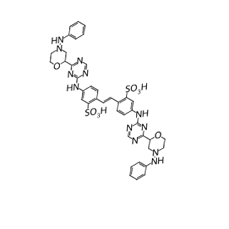 O=S(=O)(O)c1cc(Nc2ncnc(C3CN(Nc4ccccc4)CCO3)n2)ccc1C=Cc1ccc(Nc2ncnc(C3CN(Nc4ccccc4)CCO3)n2)cc1S(=O)(=O)O